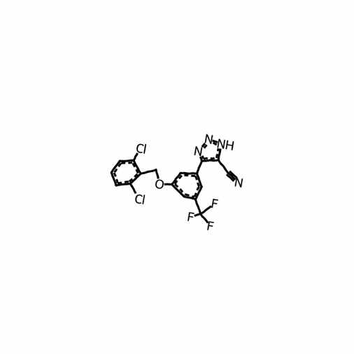 N#Cc1[nH]nnc1-c1cc(OCc2c(Cl)cccc2Cl)cc(C(F)(F)F)c1